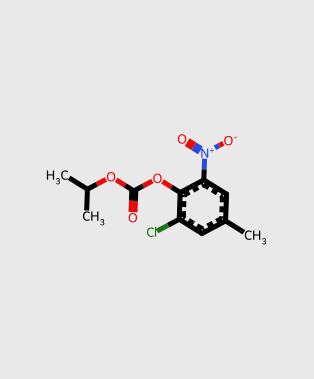 Cc1cc(Cl)c(OC(=O)OC(C)C)c([N+](=O)[O-])c1